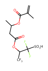 C=C(C)C(=O)OC(C)CC(=O)OC(C(F)(F)F)C(F)(F)S(=O)(=O)O